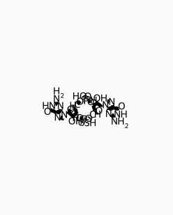 Nc1nc2c(ncn2[C@@H]2O[C@@H]3COP(=O)(S)O[C@H]4[C@@H](O)[C@H](n5cnc6c(=O)[nH]c(N)nc65)O[C@@H]4COP(=O)(O)O[C@H]3[C@H]2O)c(=O)[nH]1